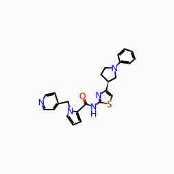 O=C(Nc1nc([C@H]2CCN(c3ccccc3)C2)cs1)c1cccn1Cc1ccncc1